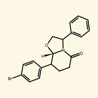 O=C1CCC(c2ccc(Br)cc2)[C@@H]2OCC(c3ccccc3)N12